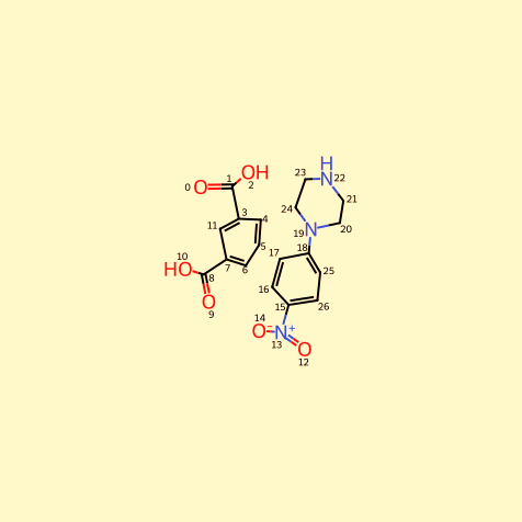 O=C(O)c1cccc(C(=O)O)c1.O=[N+]([O-])c1ccc(N2CCNCC2)cc1